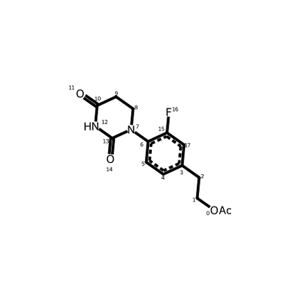 CC(=O)OCCc1ccc(N2CCC(=O)NC2=O)c(F)c1